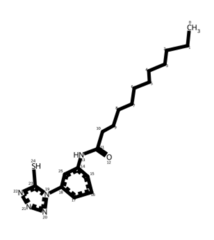 CCCCCCCCCCCC(=O)Nc1cccc(-n2nnnc2S)c1